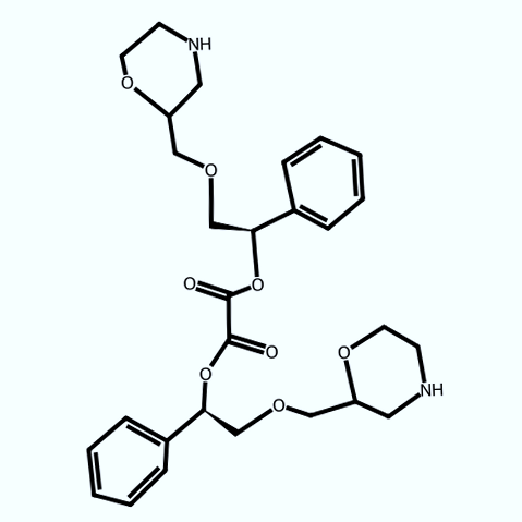 O=C(O[C@@H](COCC1CNCCO1)c1ccccc1)C(=O)O[C@@H](COCC1CNCCO1)c1ccccc1